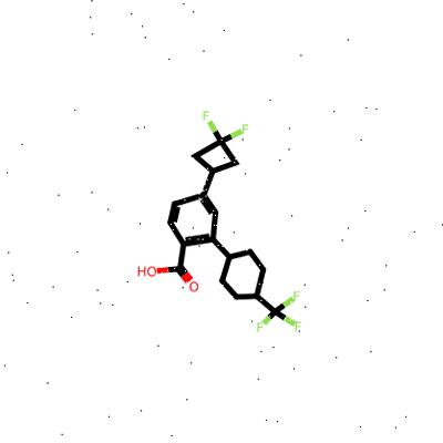 O=C(O)c1ccc(C2CC(F)(F)C2)cc1C1CCC(C(F)(F)F)CC1